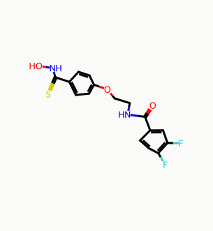 O=C(NCCOc1ccc(C(=S)NO)cc1)c1ccc(F)c(F)c1